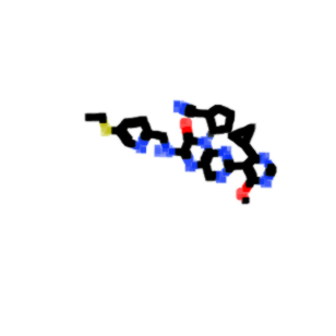 CCSc1ccc(CNc2nc3cnc(-c4c(OC)ncnc4C4CC4)nc3n([C@H]3CCCC3C#N)c2=O)nc1